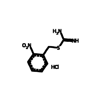 Cl.N=C(N)SCc1ccccc1[N+](=O)[O-]